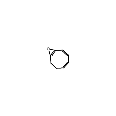 C1=C\CCC2=C(\C=C/1)O2